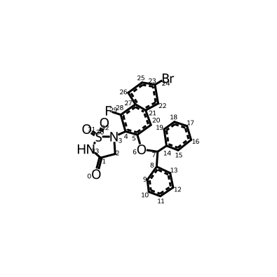 O=C1CN(c2c(OC(c3ccccc3)c3ccccc3)cc3cc(Br)ccc3c2F)S(=O)(=O)N1